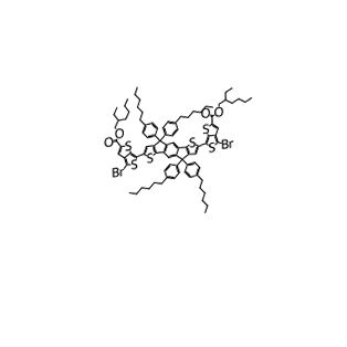 CCCCCCc1ccc(C2(c3ccc(CCCCCC)cc3)c3cc4c(cc3-c3sc(-c5sc(Br)c6cc(C(=O)OCC(CC)CCCC)sc56)cc32)C(c2ccc(CCCCCC)cc2)(c2ccc(CCCCCC)cc2)c2cc(-c3sc(Br)c5cc(C(=O)OCC(CC)CCCC)sc35)sc2-4)cc1